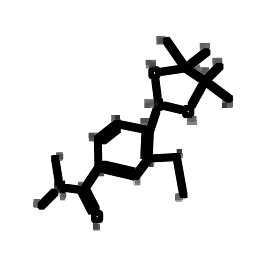 CCc1cc(C(=O)N(C)C)ccc1B1OC(C)(C)C(C)(C)O1